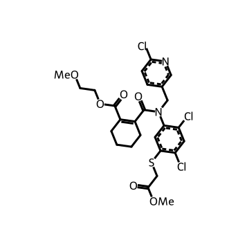 COCCOC(=O)C1=C(C(=O)N(Cc2ccc(Cl)nc2)c2cc(SCC(=O)OC)c(Cl)cc2Cl)CCCC1